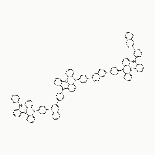 c1ccc(N2c3ccccc3B3c4ccccc4N(c4ccc(-c5cc(-c6ccc(N7c8ccccc8B8c9ccccc9N(c9ccc(-c%10ccc%11cc(-c%12ccc(N%13c%14ccccc%14B%14c%15ccccc%15N(c%15cccc(-c%16ccc%17ccccc%17c%16)c%15)c%15cccc%13c%15%14)cc%12)ccc%11c%10)cc9)c9cccc7c98)cc6)cc6ccccc56)cc4)c4cccc2c43)cc1